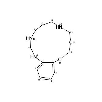 c1ccc2c(c1)NCNCCCNCCCO2